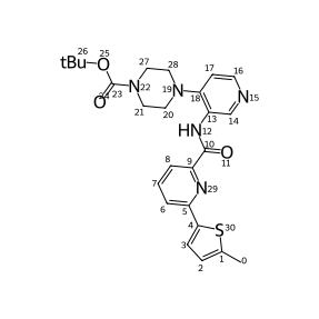 Cc1ccc(-c2cccc(C(=O)Nc3cnccc3N3CCN(C(=O)OC(C)(C)C)CC3)n2)s1